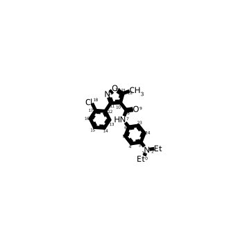 CCN(CC)c1ccc(NC(=O)c2c(-c3ccccc3Cl)noc2C)cc1